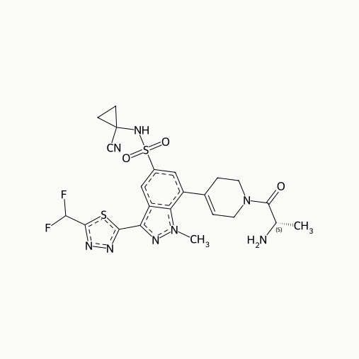 C[C@H](N)C(=O)N1CC=C(c2cc(S(=O)(=O)NC3(C#N)CC3)cc3c(-c4nnc(C(F)F)s4)nn(C)c23)CC1